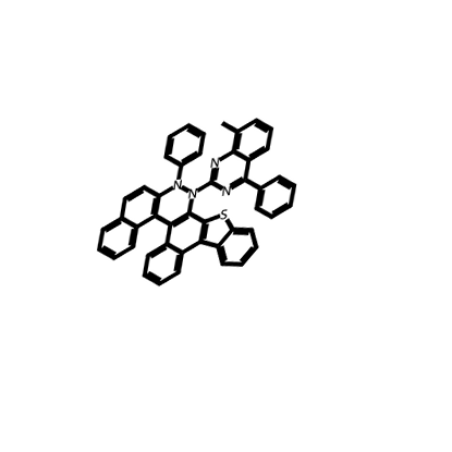 Cc1cccc2c(-c3ccccc3)nc(N3c4c(c5ccccc5c5c4sc4ccccc45)-c4c(ccc5ccccc45)N3c3ccccc3)nc12